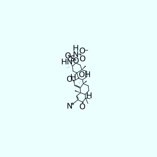 COC(=O)NS(=O)(=O)N[C@@]1(C)CC[C@]2(C)CC[C@@]3(C)[C@]4(C)CC[C@H]5C(C)(C)C(=O)C(C#N)=C[C@]5(C)C4=CC(=O)[C@]3(O)[C@@H]2C1